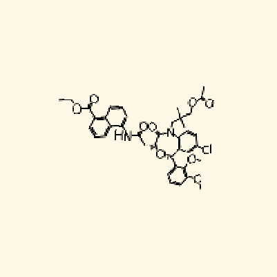 CCOC(=O)c1cccc2c(NC(=O)C[C@H]3O[C@H](c4cccc(OC)c4OC)c4cc(Cl)ccc4N(CC(C)(C)COC(C)=O)C3=O)cccc12